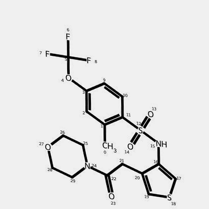 Cc1cc(OC(F)(F)F)ccc1S(=O)(=O)Nc1cscc1CC(=O)N1CCOCC1